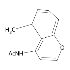 CC(=O)NC1=C2C(=CC=CC2C)OC=C1